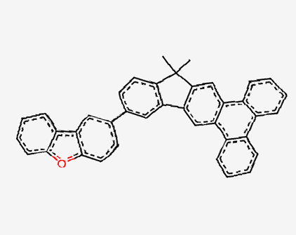 CC1(C)c2ccc(-c3ccc4oc5ccccc5c4c3)cc2-c2cc3c4ccccc4c4ccccc4c3cc21